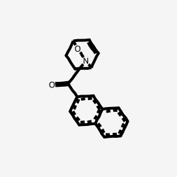 O=C(c1ccc2ccccc2c1)N1OC2C=CC1CC2